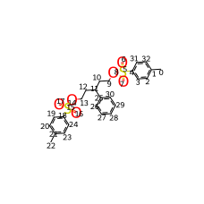 Cc1ccc(S(=O)(=O)OCCC(CCOS(=O)(=O)c2ccc(C)cc2)c2ccccc2)cc1